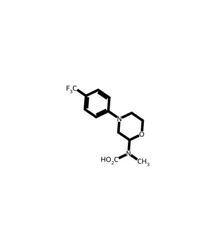 CN(C(=O)O)C1CN(c2ccc(C(F)(F)F)cc2)CCO1